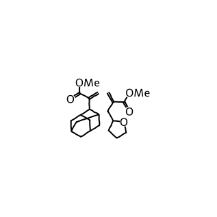 C=C(C(=O)OC)C1C2CC3CC(C2)CC1C3.C=C(CC1CCCO1)C(=O)OC